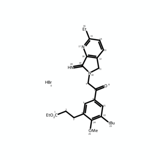 Br.CCOC(=O)CCc1cc(C(=O)CN2Cc3ccc(CC)nc3C2=N)cc(C(C)(C)C)c1OC